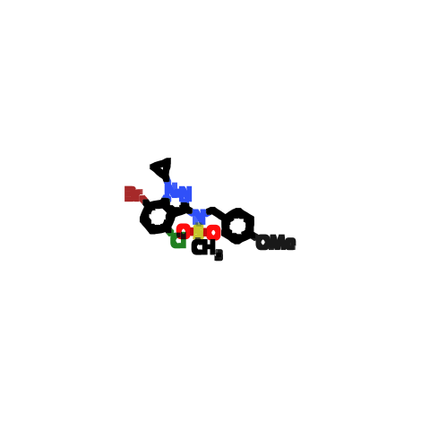 COc1ccc(CN(c2nn(C3CC3)c3c(Br)ccc(Cl)c23)S(C)(=O)=O)cc1